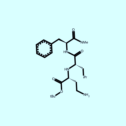 CNC(=O)[C@H](Cc1ccccc1)NC(=O)[C@H](CC(C)C)N[C@H](CCN)C(=O)OC(C)(C)C